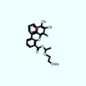 COCCOC(C)OC(=O)c1cccc(-c2ccccc2)c1Oc1c(F)c(F)c(C#N)c(C#N)c1F